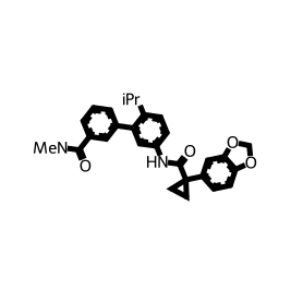 CNC(=O)c1cccc(-c2cc(NC(=O)C3(c4ccc5c(c4)OCO5)CC3)ccc2C(C)C)c1